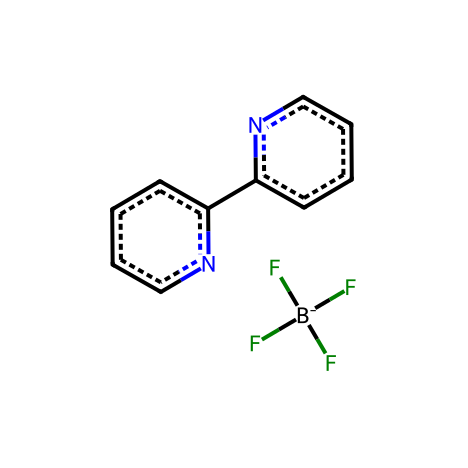 F[B-](F)(F)F.c1ccc(-c2ccccn2)nc1